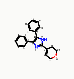 C1=C(c2nc(-c3ccccc3)c(-c3ccccc3)[nH]2)CCOC1